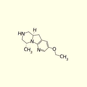 CCOc1cnc2c(c1)C[C@@H]1CNC[C@@H](C)N21